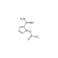 N=C(N)C1=CC=C[SH]1OC(=O)C(F)(F)F